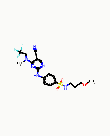 COCCCNS(=O)(=O)c1ccc(Nc2ncc(C#N)c(N(C)CC(F)(F)F)n2)cc1